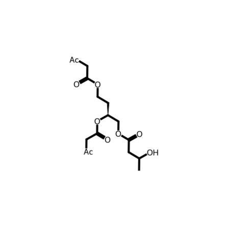 CC(=O)CC(=O)OCC[C@@H](COC(=O)CC(C)O)OC(=O)CC(C)=O